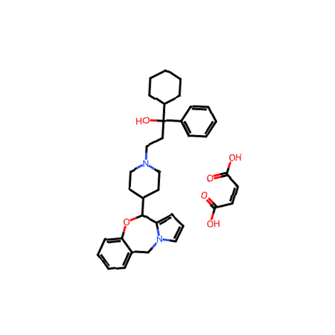 O=C(O)/C=C\C(=O)O.OC(CCN1CCC(C2Oc3ccccc3Cn3cccc32)CC1)(c1ccccc1)C1CCCCC1